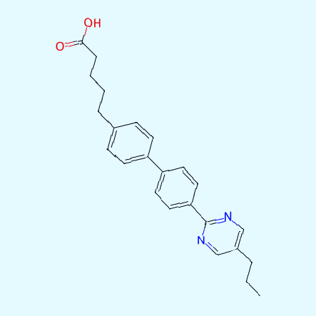 CCCc1cnc(-c2ccc(-c3ccc(CCCCC(=O)O)cc3)cc2)nc1